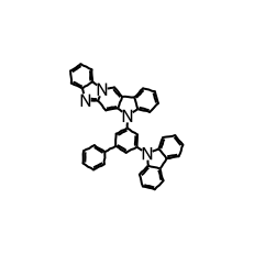 c1ccc(-c2cc(-n3c4ccccc4c4ccccc43)cc(-n3c4ccccc4c4cn5c(cc43)nc3ccccc35)c2)cc1